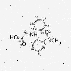 CC(=O)c1ccccc1.O=C(O)CNc1ccccc1